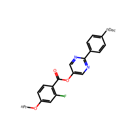 CCCCCCCCCCc1ccc(-c2ncc(OC(=O)c3ccc(OCCC)cc3F)cn2)cc1